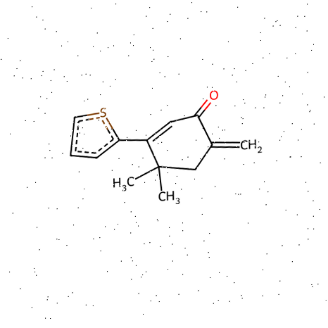 C=C1CC(C)(C)C(c2cccs2)=CC1=O